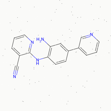 N#Cc1cccnc1Nc1ccc(-c2cccnc2)cc1N